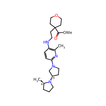 COC(=O)C1(CCNc2ccc(N3CC[C@@H](N4CCC[C@H]4C)C3)nc2C)CCOCC1